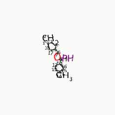 C=Cc1ccc(COC(=P)c2ccc(C)cc2)cc1